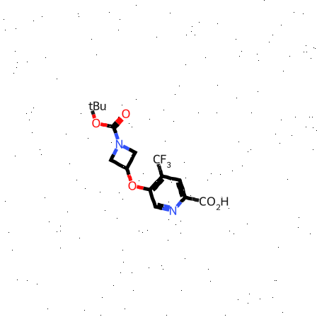 CC(C)(C)OC(=O)N1CC(Oc2cnc(C(=O)O)cc2C(F)(F)F)C1